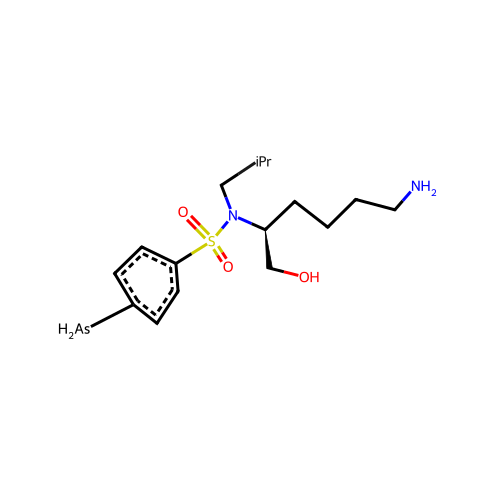 CC(C)CN([C@H](CO)CCCCN)S(=O)(=O)c1ccc([AsH2])cc1